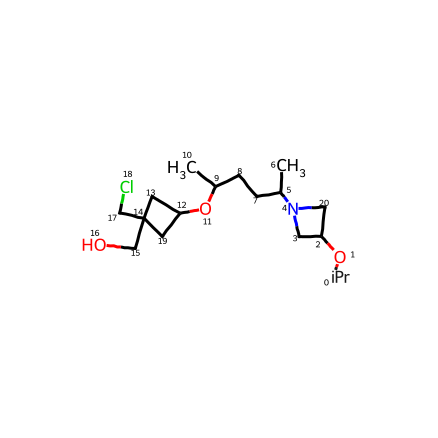 CC(C)OC1CN(C(C)CCC(C)OC2CC(CO)(CCl)C2)C1